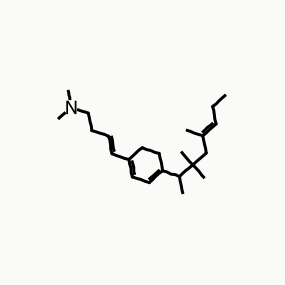 CC/C=C(\C)CC(C)(C)C(C)C1=CC=C(/C=C/CCN(C)C)CC1